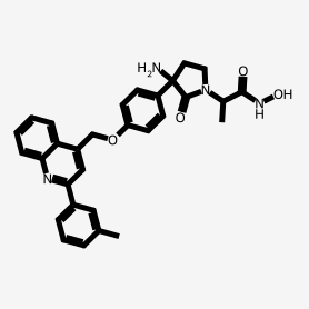 Cc1cccc(-c2cc(COc3ccc(C4(N)CCN(C(C)C(=O)NO)C4=O)cc3)c3ccccc3n2)c1